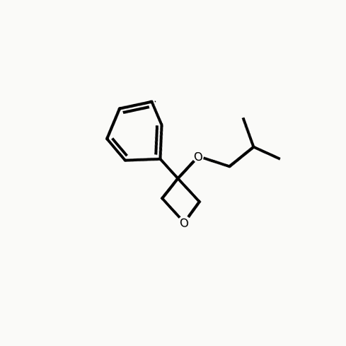 CC(C)COC1(c2c[c]ccc2)COC1